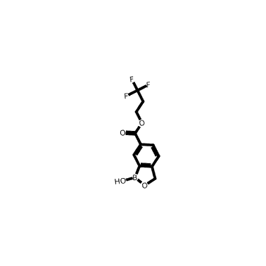 O=C(OCCC(F)(F)F)c1ccc2c(c1)B(O)OC2